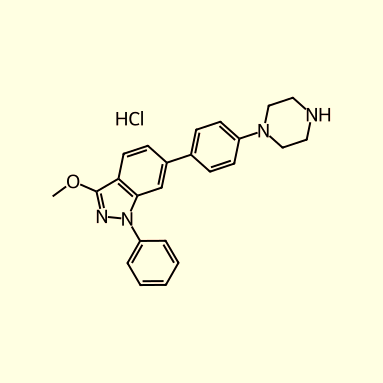 COc1nn(-c2ccccc2)c2cc(-c3ccc(N4CCNCC4)cc3)ccc12.Cl